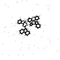 CC12Sc3ccccc3C1=NC(c1cc3ccccc3c3ccccc13)=N[C@H]2c1ccc2c(c1)C1(c3ccccc3O2)c2ccccc2-c2c1ccc1ccccc21